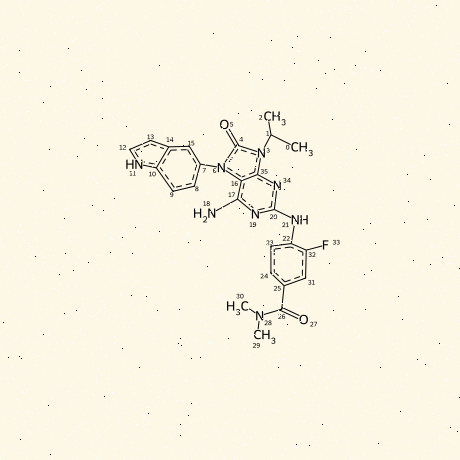 CC(C)n1c(=O)n(-c2ccc3[nH]ccc3c2)c2c(N)nc(Nc3ccc(C(=O)N(C)C)cc3F)nc21